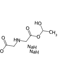 CC(O)OC(=O)CNCC(=O)O.[NaH].[NaH]